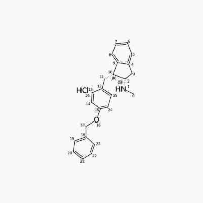 CN[C@H]1Cc2ccccc2[C@H]1Cc1ccc(OCc2ccccc2)cc1.Cl